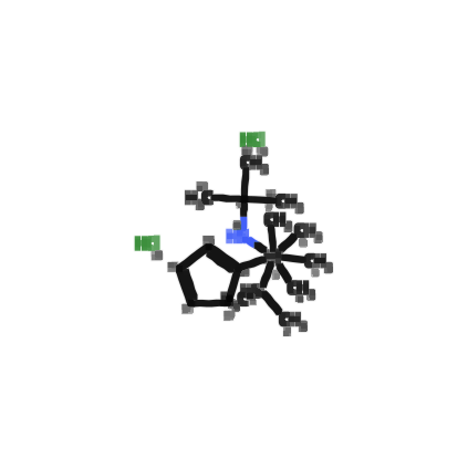 C[SiH](C)[Hf]([CH3])([CH3])([CH3])([CH3])([NH]C(C)(C)C)[C]1=CC=CC1.Cl.Cl